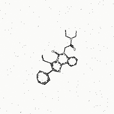 CCc1c(-c2ccccc2)nc2c3ccccc3n(CC(=O)N(CC)CC)c(=O)n12